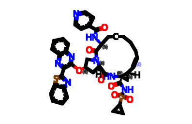 O=C(N[C@H]1CCCCC/C=C\[C@@H]2C[C@@]2(C(=O)NS(=O)(=O)C2CC2)NC(=O)[C@@H]2C[C@@H](Oc3nc4ccccc4nc3-c3nc4ccccc4s3)CN2C1=O)c1ccncc1